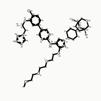 COCCOCCOCCOc1nn([C@H]2CC[C@H](N3[C@@H]4CC[C@H]3COC4)CC2)cc1Nc1ncc(-c2ccc(Cl)c(O[C@@H](C)Cn3cnnn3)c2)cn1